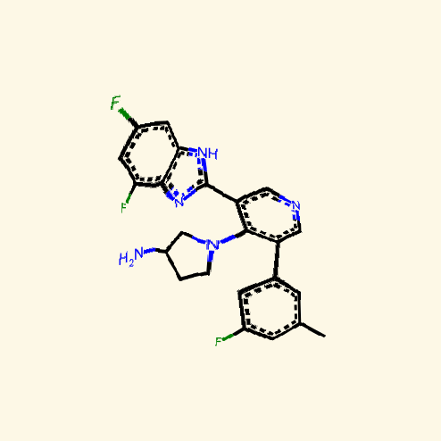 Cc1cc(F)cc(-c2cncc(-c3nc4c(F)cc(F)cc4[nH]3)c2N2CCC(N)C2)c1